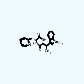 C[C@H](c1cn(C)c2ccccc12)[C@H]1NC(=O)[C@@H](Cc2ccccn2)NC1=O